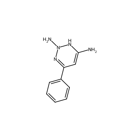 NC1=CC(c2ccccc2)=NN(N)N1